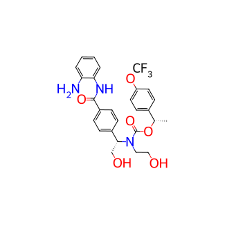 C[C@H](OC(=O)N(CCO)[C@H](CO)c1ccc(C(=O)Nc2ccccc2N)cc1)c1ccc(OC(F)(F)F)cc1